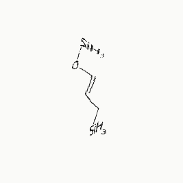 [SiH3]CC=CO[SiH3]